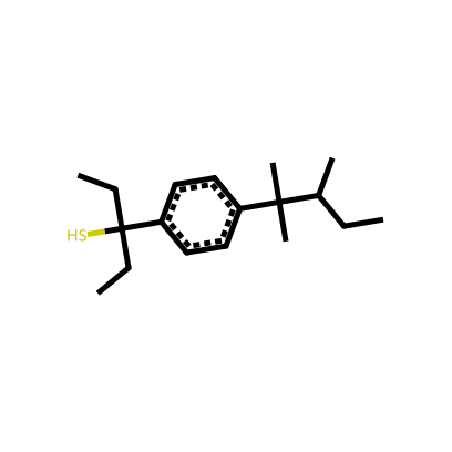 CCC(C)C(C)(C)c1ccc(C(S)(CC)CC)cc1